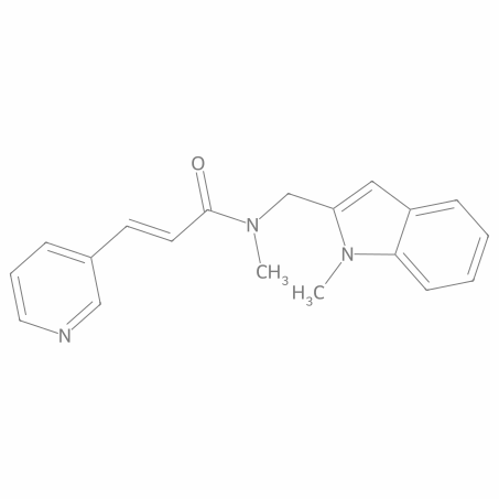 CN(Cc1cc2ccccc2n1C)C(=O)C=Cc1cccnc1